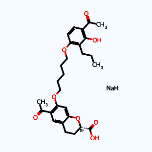 CCCc1c(OCCCCCOc2cc3c(cc2C(C)=O)CC[C@@H](C(=O)O)O3)ccc(C(C)=O)c1O.[NaH]